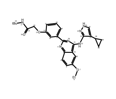 CCOc1ccc2nc(-c3cccc(OCC(=O)NC(C)(C)C)c3)nc(Nc3n[nH]cc3C3CC3)c2c1